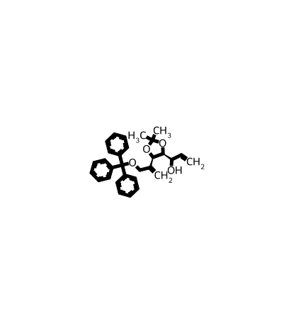 C=CC(O)[C@@H]1OC(C)(C)O[C@@H]1C(=C)COC(c1ccccc1)(c1ccccc1)c1ccccc1